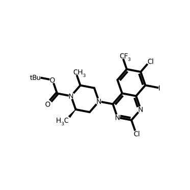 CC1CN(c2nc(Cl)nc3c(I)c(Cl)c(C(F)(F)F)cc23)C[C@@H](C)N1C(=O)OC(C)(C)C